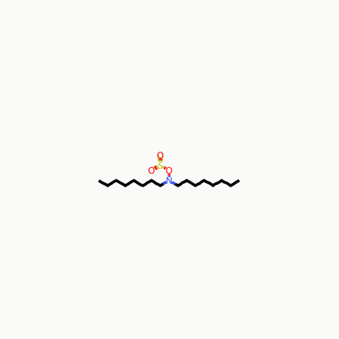 CCCCCCCCN(CCCCCCCC)O[SH](=O)=O